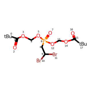 CC(C)(C)C(=O)OCOP(=O)(CC(Br)Br)OCOC(=O)C(C)(C)C